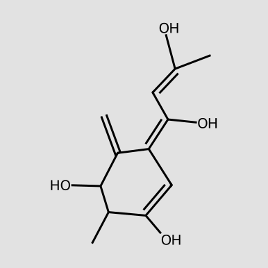 C=C1/C(=C(O)\C=C(/C)O)C=C(O)C(C)C1O